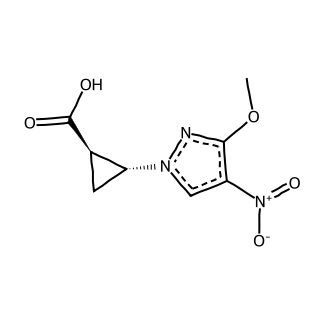 COc1nn([C@@H]2C[C@H]2C(=O)O)cc1[N+](=O)[O-]